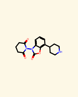 O=C1CCCC(=O)N1n1c(=O)oc2c(C3CCNCC3)cccc21